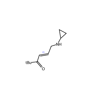 CC(C)(C)C(=O)/C=C/CNC1CC1